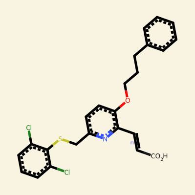 O=C(O)/C=C/c1nc(CSc2c(Cl)cccc2Cl)ccc1OCCCc1ccccc1